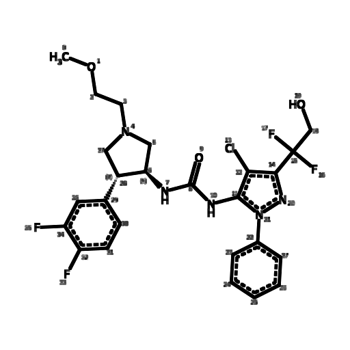 COCCN1C[C@@H](NC(=O)Nc2c(Cl)c(C(F)(F)CO)nn2-c2ccccc2)[C@H](c2ccc(F)c(F)c2)C1